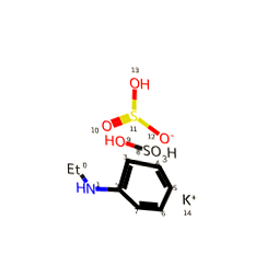 CCNc1ccccc1.O=S(=O)(O)O.O=S([O-])O.[K+]